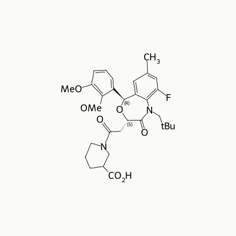 COc1cccc([C@@H]2O[C@@H](CC(=O)N3CCCC(C(=O)O)C3)C(=O)N(CC(C)(C)C)c3c(F)cc(C)cc32)c1OC